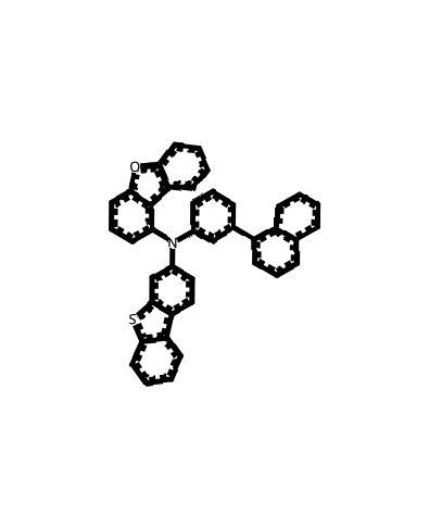 c1cc(-c2cccc3ccccc23)cc(N(c2ccc3c(c2)sc2ccccc23)c2cccc3oc4ccccc4c23)c1